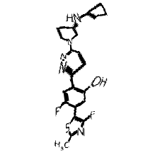 Cc1nc(F)c(-c2cc(O)c(-c3ccc(N4CCC(NC5CCC5)C4)nn3)cc2F)s1